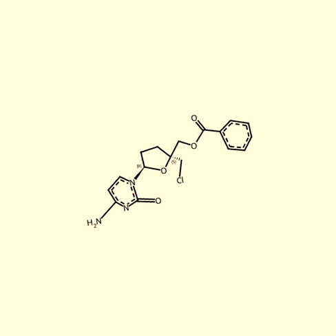 Nc1ccn([C@H]2CC[C@@](CCl)(COC(=O)c3ccccc3)O2)c(=O)n1